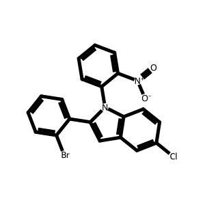 O=[N+]([O-])c1ccccc1-n1c(-c2ccccc2Br)cc2cc(Cl)ccc21